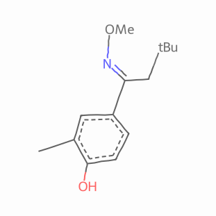 CON=C(CC(C)(C)C)c1ccc(O)c(C)c1